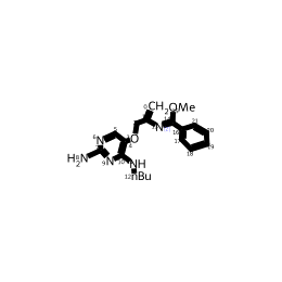 C=C(COc1cnc(N)nc1NCCCC)/N=C(\OC)c1ccccc1